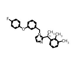 Cc1cccc([C@H](C)c2nccn2Cc2cccc(Oc3ccc(F)cc3)c2)c1C